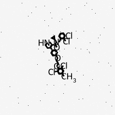 Cc1cc(Cl)c(OCCOc2ccc(C3=C(C(=O)N(Cc4cccc(Cl)c4Cl)C4CC4)CNCC3)cc2)c(Cl)c1